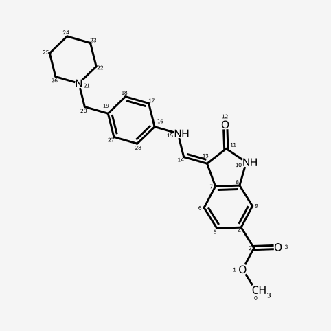 COC(=O)c1ccc2c(c1)NC(=O)C2=CNc1ccc(CN2CCCCC2)cc1